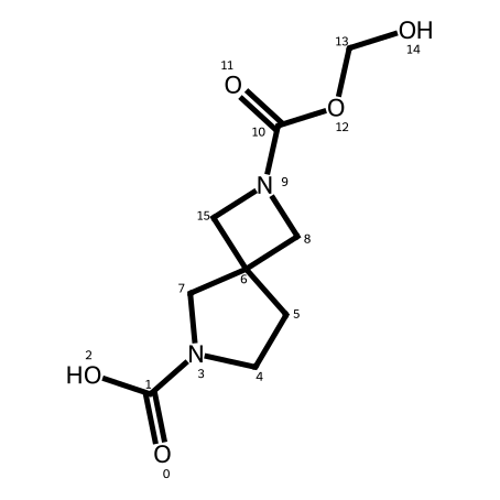 O=C(O)N1CCC2(C1)CN(C(=O)OCO)C2